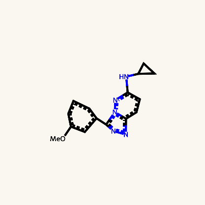 COc1cccc(-c2nnc3ccc(NC4CC4)nn23)c1